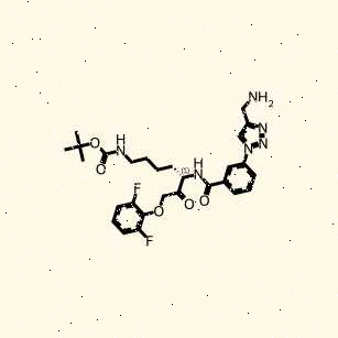 CC(C)(C)OC(=O)NCCCC[C@H](NC(=O)c1cccc(-n2cc(CN)nn2)c1)C(=O)COc1c(F)cccc1F